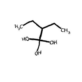 CCC(CC)C(O)(O)O